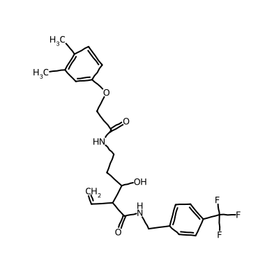 C=CC(C(=O)NCc1ccc(C(F)(F)F)cc1)C(O)CCNC(=O)COc1ccc(C)c(C)c1